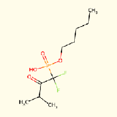 CCCCCOP(=O)(O)C(F)(F)C(=O)C(C)C